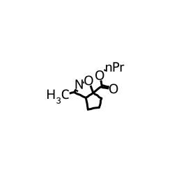 CCCOC(=O)C12CCCC1C(C)=NO2